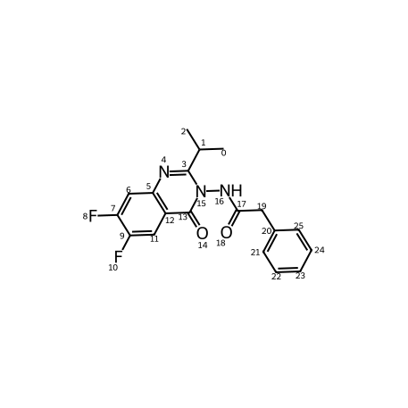 CC(C)c1nc2cc(F)c(F)cc2c(=O)n1NC(=O)Cc1ccccc1